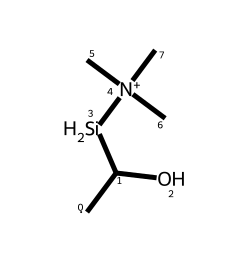 [CH2]C(O)[SiH2][N+](C)(C)C